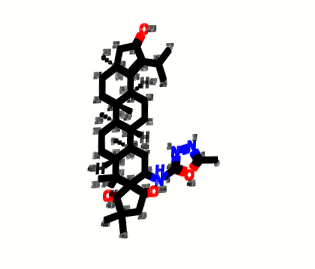 Cc1nnc(NC2C[C@]3(C)[C@H]4CC[C@@H]5C6=C(C(C)C)C(=O)C[C@]6(C)CC[C@@]5(C)[C@]4(C)CC[C@H]3C(C)(C)C23C(=O)CC(C)(C)C3=O)o1